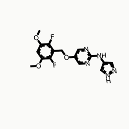 COc1cc(OC)c(F)c(COc2cnc(Nc3cn[nH]c3)nc2)c1F